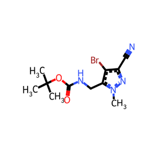 Cn1nc(C#N)c(Br)c1CNC(=O)OC(C)(C)C